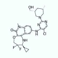 C[C@H]1C[C@@H](CO)CN(c2ncc(Cl)c(Nc3ccc4c(c3)c3c(c(=O)n4C)OCC(F)(F)[C@H](C4CC4)N3)n2)C1